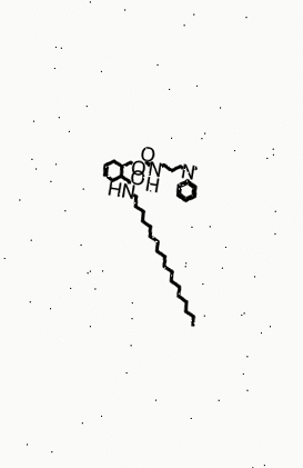 CCCCCCCCCCCCCCCCCCNC(=O)C1CC=CCC1COC(=O)NCCCN(C)c1ccccc1